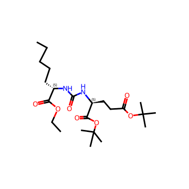 CCCCC[C@H](NC(=O)N[C@@H](CCC(=O)OC(C)(C)C)C(=O)OC(C)(C)C)C(=O)OCC